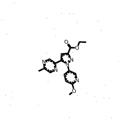 CCOC(=O)c1cc(-c2cnc(C)cn2)n(-c2ccc(OC)nc2)n1